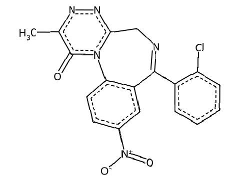 Cc1nnc2n(c1=O)-c1ccc([N+](=O)[O-])cc1C(c1ccccc1Cl)=NC2